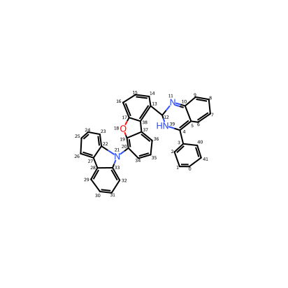 c1ccc(C2=c3ccccc3=NC(c3cccc4oc5c(-n6c7ccccc7c7ccccc76)cccc5c34)N2)cc1